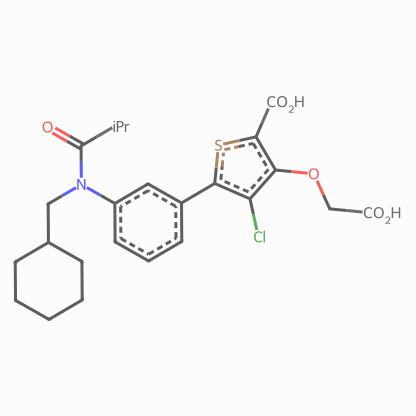 CC(C)C(=O)N(CC1CCCCC1)c1cccc(-c2sc(C(=O)O)c(OCC(=O)O)c2Cl)c1